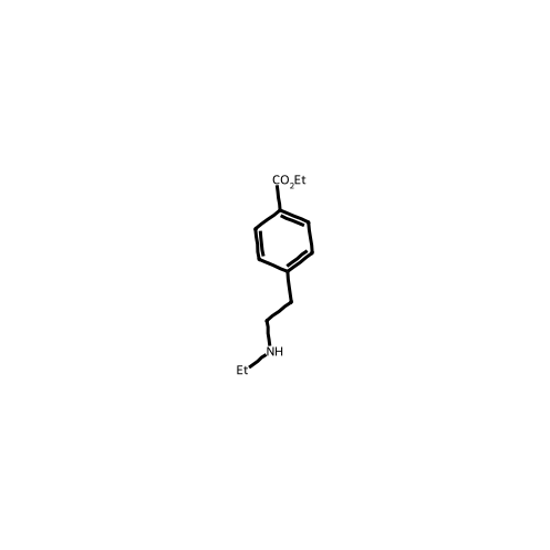 CCNCCc1ccc(C(=O)OCC)cc1